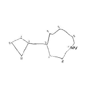 C1CC(C2CCCNCC2)C1